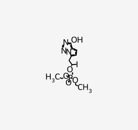 CCOP(=O)(COC(I)Cc1ccc2c(O)ncnn12)OCC